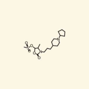 CC1C(OS(C)(=O)=O)OC(=O)N1CCCC1CCN(C2CCCC2)CC1